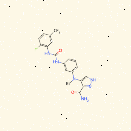 CCN(c1cccc(NC(=O)Nc2cc(C(F)(F)F)ccc2F)c1)c1c[nH]nc1C(N)=O